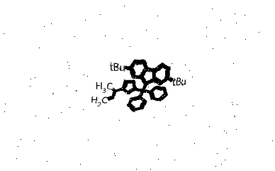 C=CC(C)C1=CCC(C(c2ccccc2)(c2ccccc2)C2c3cc(C(C)(C)C)ccc3-c3ccc(C(C)(C)C)cc32)=C1